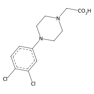 O=C(O)CN1CCN(c2ccc(Cl)c(Cl)c2)CC1